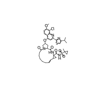 COc1ccc2c(OC3CC4C(=O)NC5(C(=O)NS(=O)(=O)C6(C)CC6)CC5/C=C/CCCCCC(=O)N4C3)cc(-c3nc(C(C)C)cs3)nc2c1Cl